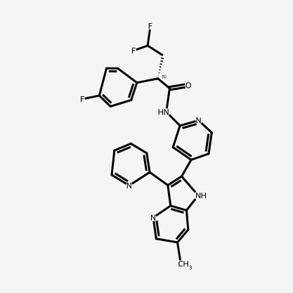 Cc1cnc2c(-c3ccccn3)c(-c3ccnc(NC(=O)[C@@H](CC(F)F)c4ccc(F)cc4)c3)[nH]c2c1